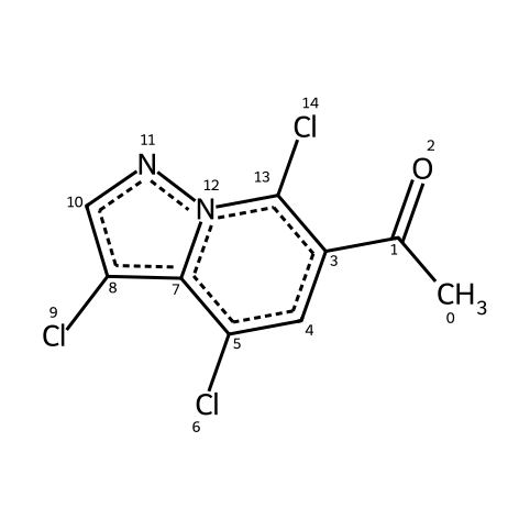 CC(=O)c1cc(Cl)c2c(Cl)cnn2c1Cl